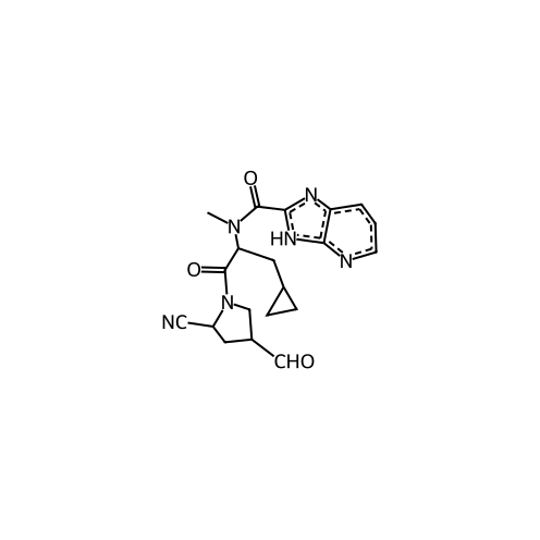 CN(C(=O)c1nc2cccnc2[nH]1)C(CC1CC1)C(=O)N1CC(C=O)CC1C#N